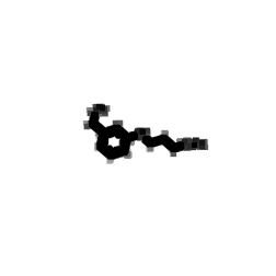 CC(=O)OCCCOc1cccc(CC(C)C)c1